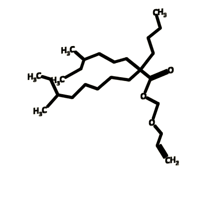 C=CCOCOC(=O)C(CCCC)(CCCCCC(C)CC)CCCC(C)CC